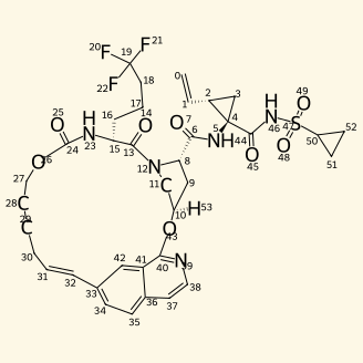 C=C[C@@H]1C[C@]1(NC(=O)[C@@H]1C[C@@H]2CN1C(=O)[C@@H](CCCC(F)(F)F)NC(=O)OCCCC/C=C/c1ccc3ccnc(c3c1)O2)C(=O)NS(=O)(=O)C1CC1